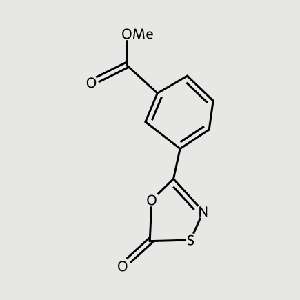 COC(=O)c1cccc(-c2nsc(=O)o2)c1